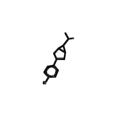 CC(C)C1C2C=C(c3ccc(Cl)cc3)CC21